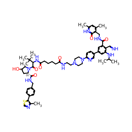 Cc1cc(C)c(CNC(=O)c2cc(-c3ccc(N4CCN(CCNC(=O)CCCCC(=O)NC(C(=O)N5C[C@H](O)C[C@H]5C(=O)NCc5ccc(-c6scnc6C)cc5)C(C)(C)C)CC4)nc3)cc(NC(C)C)c2C=N)c(=O)[nH]1